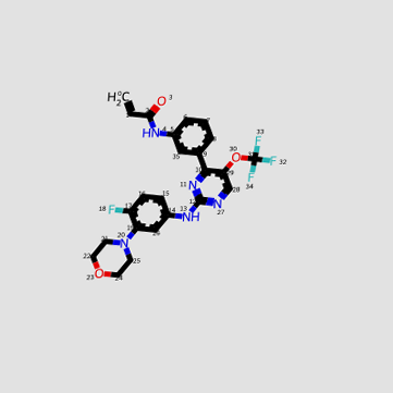 C=CC(=O)Nc1cccc(-c2nc(Nc3ccc(F)c(N4CCOCC4)c3)ncc2OC(F)(F)F)c1